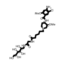 COc1cc(N)c(Cl)cc1C(=O)N[C@@H]1CCN(CCCCCC(=O)NCC(=O)NC[C@H](O)[C@@H](O)[C@H](O)[C@H](O)CO)C[C@@H]1OC